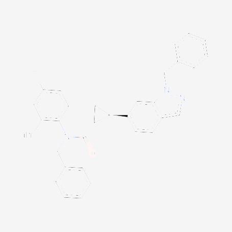 CC(C)c1cc(F)ccc1N(Cc1ccccc1)C(=O)[C@@H]1C[C@H]1c1ccc2cnn(Cc3ccccc3)c2c1